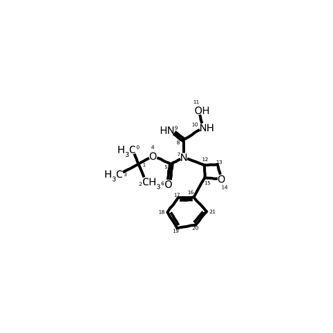 CC(C)(C)OC(=O)N(C(=N)NO)C1COC1c1ccccc1